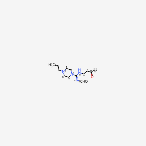 C=CCN1CCN(/C(=N/C=O)NCCC(=O)CC)CC1